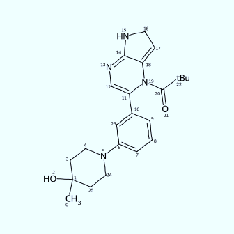 CC1(O)CCN(c2cccc(C3=CN=C4NCC=C4N3C(=O)C(C)(C)C)c2)CC1